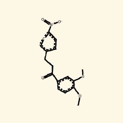 COc1ccc(C(=O)CCc2ccc([N+](=O)[O-])cc2)cc1OC